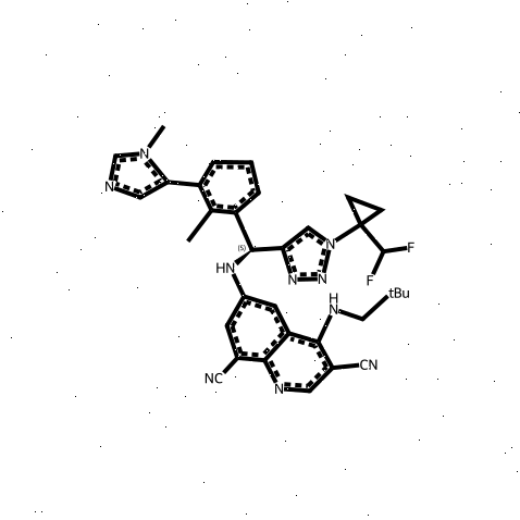 Cc1c(-c2cncn2C)cccc1[C@H](Nc1cc(C#N)c2ncc(C#N)c(NCC(C)(C)C)c2c1)c1cn(C2(C(F)F)CC2)nn1